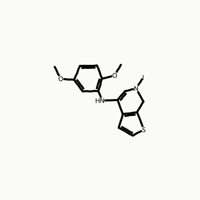 COc1ccc(OC)c(NC2=CN(I)Cc3sccc32)c1